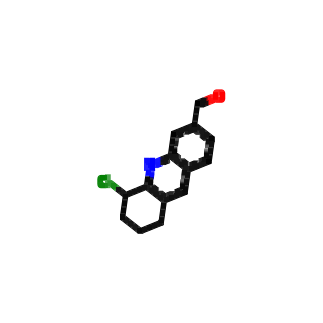 O=Cc1ccc2cc3c(nc2c1)C(Cl)CCC3